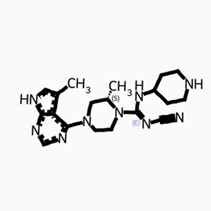 Cc1c[nH]c2ncnc(N3CCN(/C(=N/C#N)NC4CCNCC4)[C@@H](C)C3)c12